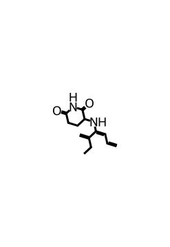 C=C/C=C(/NC1CCC(=O)NC1=O)C(=C)CC